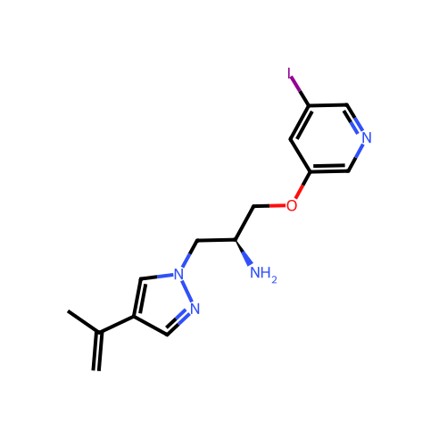 C=C(C)c1cnn(C[C@H](N)COc2cncc(I)c2)c1